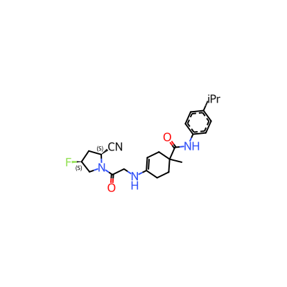 CC(C)c1ccc(NC(=O)C2(C)CC=C(NCC(=O)N3C[C@@H](F)C[C@H]3C#N)CC2)cc1